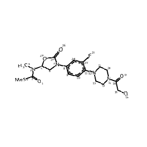 CSC(=O)N(C)C1CN(c2ccc(N3CCN(C(=O)CCl)CC3)c(F)c2)C(=O)O1